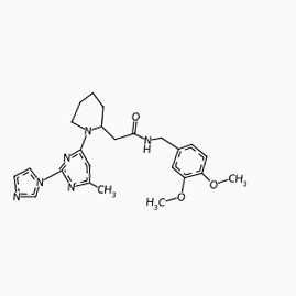 COc1ccc(CNC(=O)CC2CCCCN2c2cc(C)nc(-n3ccnc3)n2)cc1OC